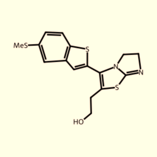 CSc1ccc2sc(C3=C(CCO)SC4=NCCN43)cc2c1